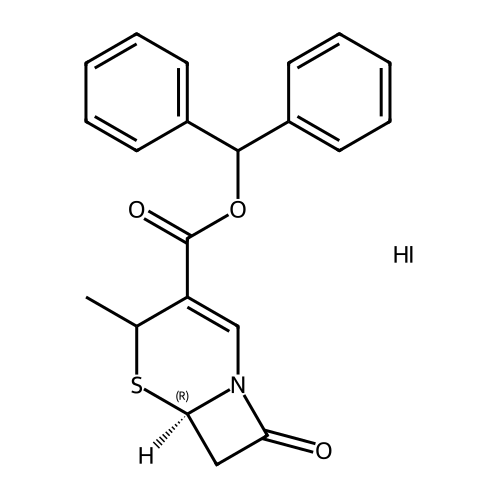 CC1S[C@@H]2CC(=O)N2C=C1C(=O)OC(c1ccccc1)c1ccccc1.I